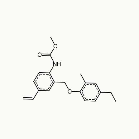 C=Cc1ccc(NC(=O)OC)c(COc2ccc(CC)cc2C)c1